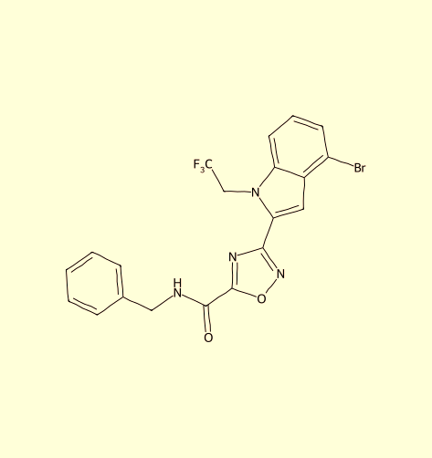 O=C(NCc1ccccc1)c1nc(-c2cc3c(Br)cccc3n2CC(F)(F)F)no1